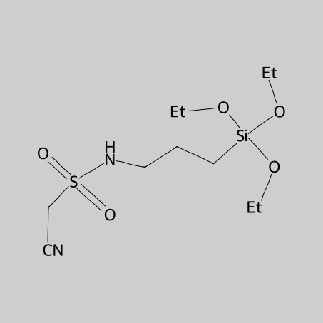 CCO[Si](CCCNS(=O)(=O)CC#N)(OCC)OCC